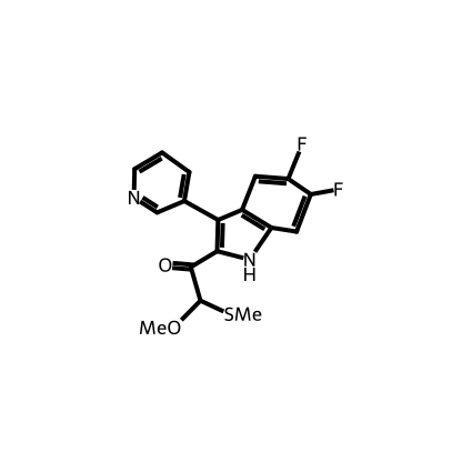 COC(SC)C(=O)c1[nH]c2cc(F)c(F)cc2c1-c1cccnc1